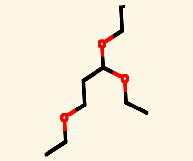 [CH2]COC(CCOCC)OCC